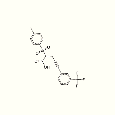 Cc1ccc(S(=O)(=O)C(CC#Cc2cccc(C(F)(F)F)c2)C(=O)O)cc1